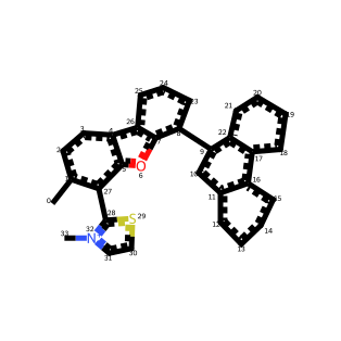 Cc1ccc2c(oc3c(-c4cc5ccccc5c5ccccc45)cccc32)c1-c1scc[n+]1C